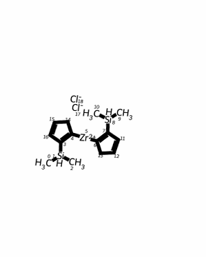 C[SiH](C)C1=[C]([Zr+2][C]2=C([SiH](C)C)C=CC2)CC=C1.[Cl-].[Cl-]